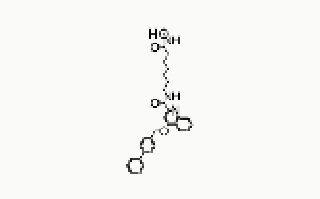 O=C(CCCCCCNC(=O)c1cc(OCc2ccc(-c3ccccc3)cc2)c2ccccc2n1)NO